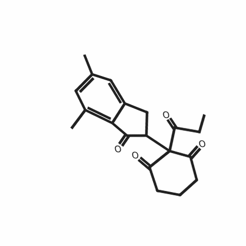 CCC(=O)C1(C2Cc3cc(C)cc(C)c3C2=O)C(=O)CCCC1=O